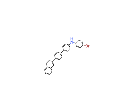 Brc1ccc(Nc2ccc(-c3ccc(-c4ccc5ccccc5c4)cc3)cc2)cc1